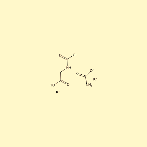 NC([O-])=S.O=C(O)CNC([O-])=S.[K+].[K+]